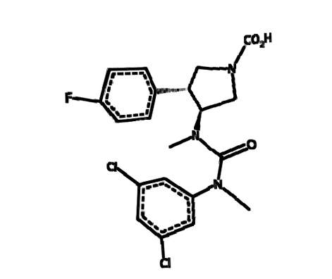 CN(C(=O)N(C)[C@@H]1CN(C(=O)O)C[C@H]1c1ccc(F)cc1)c1cc(Cl)cc(Cl)c1